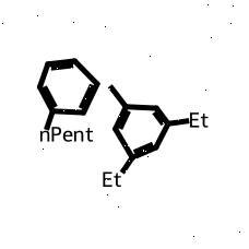 CCCCCc1ccccc1.CCc1cc(C)cc(CC)c1